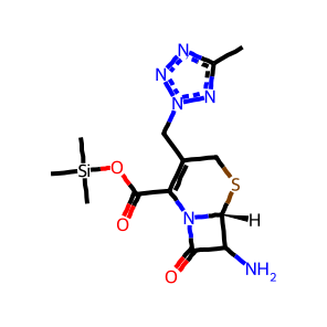 Cc1nnn(CC2=C(C(=O)O[Si](C)(C)C)N3C(=O)C(N)[C@H]3SC2)n1